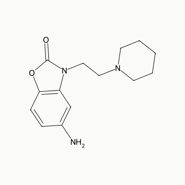 Nc1ccc2oc(=O)n(CCN3CCCCC3)c2c1